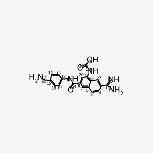 N=C(N)c1ccc2cc(C(=O)Nc3ccc(CN)cc3)cc(NC(=O)O)c2c1